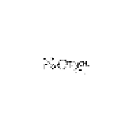 [CH2-][NH+](C)Cc1ccc(OC(F)(F)F)cc1